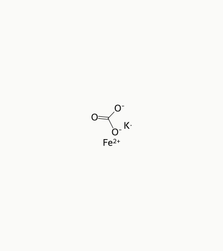 O=C([O-])[O-].[Fe+2].[K]